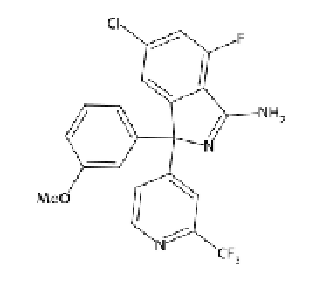 COc1cccc(C2(c3ccnc(C(F)(F)F)c3)N=C(N)c3c(F)cc(Cl)cc32)c1